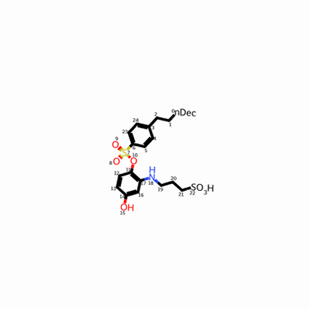 CCCCCCCCCCCCc1ccc(S(=O)(=O)Oc2ccc(O)cc2NCCCS(=O)(=O)O)cc1